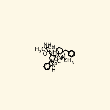 CN(C)N(C)C[C@@]1(Cc2ccccc2)CCCN(C(=O)[C@@H](Cc2c[nH]c3ccccc23)NC(=O)C(C)(C)N)C1